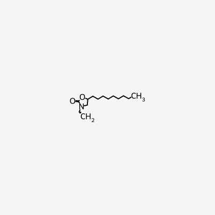 C=CN1CC(CCCCCCCCC)OC1=O